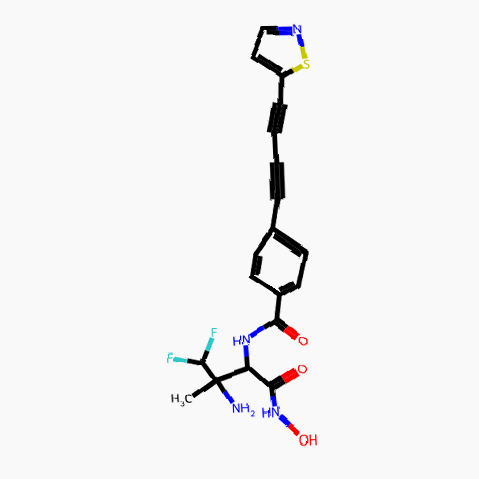 CC(N)(C(F)F)C(NC(=O)c1ccc(C#CC#Cc2ccns2)cc1)C(=O)NO